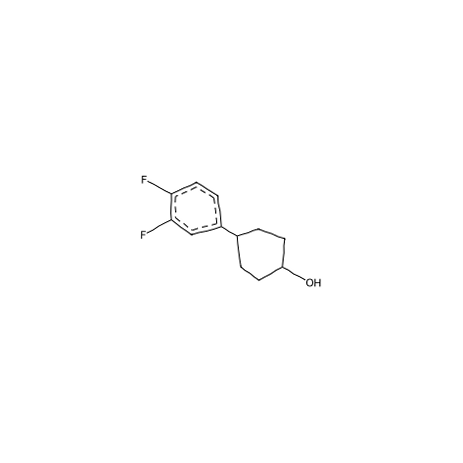 OC1CCC(c2ccc(F)c(F)c2)CC1